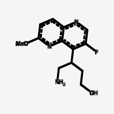 COc1ccc2ncc(F)c(C(CN)CCO)c2n1